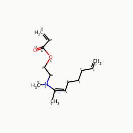 C=CCCC/C=C(/C)N(C)CCOC(=O)C=C